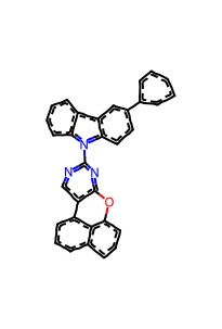 c1ccc(-c2ccc3c(c2)c2ccccc2n3-c2ncc3c(n2)Oc2cccc4cccc-3c24)cc1